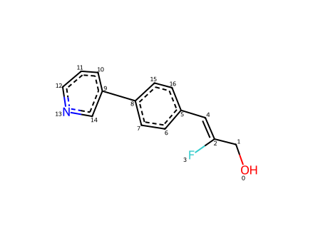 OCC(F)=Cc1ccc(-c2cccnc2)cc1